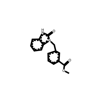 COC(=O)c1cccc(Cn2c(=O)[nH]c3ccccc32)c1